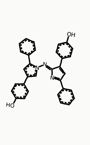 Oc1ccc(C2=CC(c3ccccc3)=NC2=Nn2cc(-c3ccc(O)cc3)cc2-c2ccccc2)cc1